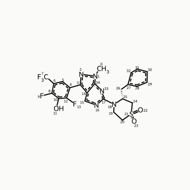 Cn1nc(-c2cc(C(F)(F)F)c(F)c(O)c2F)c2cnc(N3CCS(=O)(=O)C[C@H]3Cc3ccccc3)nc21